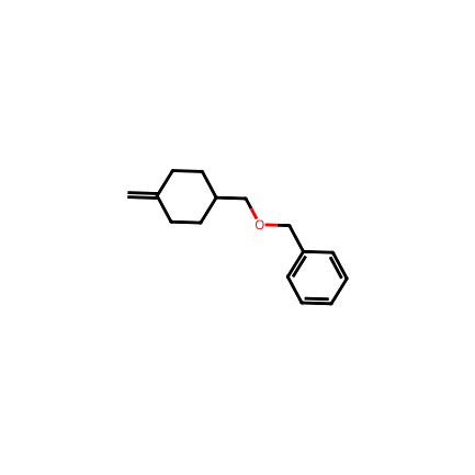 C=C1CCC(COCc2ccccc2)CC1